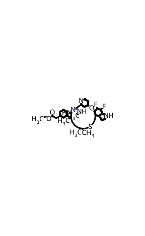 CCOC(=O)Cc1cccc([C@@]2(C)CCCC(C)(C)CSCCc3c(c(F)c(F)c4[nH]ccc34)Oc3ccnc(c3)/C(NC)=N/C2=N)c1